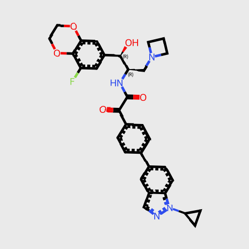 O=C(N[C@H](CN1CCC1)[C@H](O)c1cc(F)c2c(c1)OCCO2)C(=O)c1ccc(-c2ccc3c(cnn3C3CC3)c2)cc1